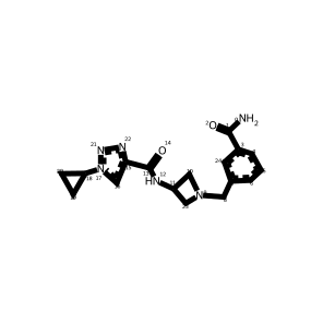 NC(=O)c1cccc(CN2CC(NC(=O)c3cn(C4CC4)nn3)C2)c1